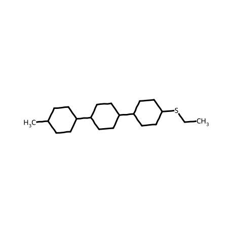 CCSC1CCC(C2CCC(C3CCC(C)CC3)CC2)CC1